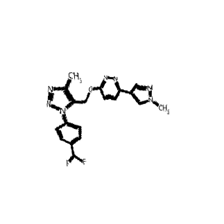 Cc1nnn(-c2ccc(C(F)F)cc2)c1COc1ccc(-c2cnn(C)c2)nn1